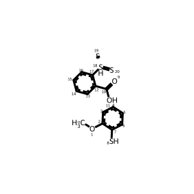 COc1ccccc1S.O=C(O)c1ccccc1[SH](=S)=S